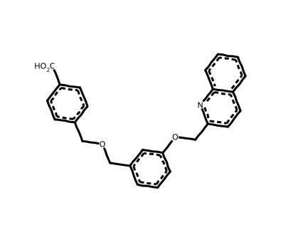 O=C(O)c1ccc(COCc2cccc(OCc3ccc4ccccc4n3)c2)cc1